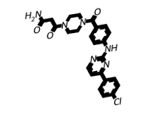 NC(=O)CC(=O)N1CCN(C(=O)c2ccc(Nc3nccc(-c4ccc(Cl)cc4)n3)cc2)CC1